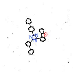 c1ccc(-c2ccc(-c3nc(-c4cccc(-c5ccccc5)c4)nc(-c4cccc5oc6ccccc6c45)n3)cc2)cc1